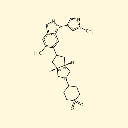 Cc1cc2cnn(-c3cnn(C)c3)c2cc1C1C[C@@H]2CN(C3CCS(=O)(=O)CC3)C[C@@H]2C1